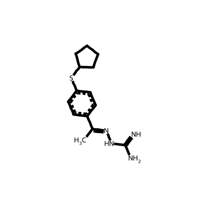 CC(=NNC(=N)N)c1ccc(SC2CCCC2)cc1